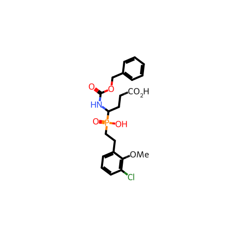 COc1c(Cl)cccc1CCP(=O)(O)C(CCC(=O)O)NC(=O)OCc1ccccc1